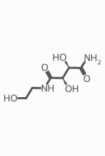 NC(=O)[C@H](O)[C@@H](O)C(=O)NCCO